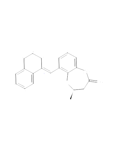 C[C@@H]1CC(=O)Nc2cccc(/C=C3\CCCc4ccccc43)c2O1